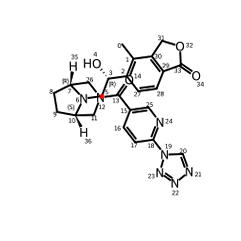 Cc1c([C@@H](O)CN2[C@@H]3CC[C@H]2CN(C(=O)c2ccc(-n4cnnn4)nc2)C3)ccc2c1COC2=O